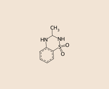 CC1Nc2ccccc2S(=O)(=O)N1